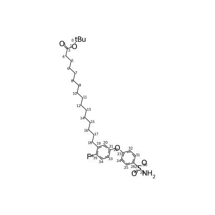 CC(C)(C)OC(=O)CCCCCCCCCCCCCCCc1cc(Oc2ccc(S(N)(=O)=O)cc2)ccc1F